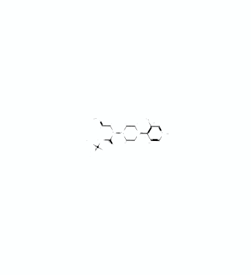 CC(C)(C)OC(=O)N(CC=O)N1CCN(c2ccncc2N)CC1